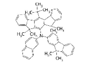 CC(C)(C)c1c2c(c(N(c3ccc4c(c3)C(C)(C)c3ccccc3-4)c3ccc4ccccc4c3)c3c1-c1ccccc1C3(C)C)C(C)(C)c1ccccc1-2